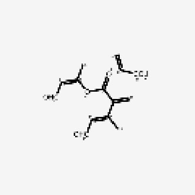 C=C(C(=O)OC(C)=CC=O)C(C)=CC=O.C=CC(=O)O